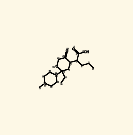 CCCC(C(=O)O)N1CC(CC)(N2CCN(C)CC2)OCC1=O